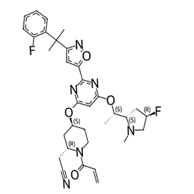 C=CC(=O)N1CC[C@H](Oc2cc(O[C@@H](C)[C@@H]3C[C@@H](F)CN3C)nc(-c3cc(C(C)(C)c4ccccc4F)no3)n2)C[C@H]1CC#N